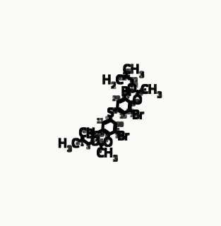 C=C(C)COC(C)Oc1c(Br)cc(Sc2cc(Br)c(OC(C)OCC(=C)C)c(Br)c2)cc1Br